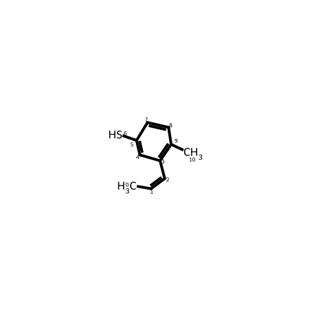 C/C=C\c1cc(S)ccc1C